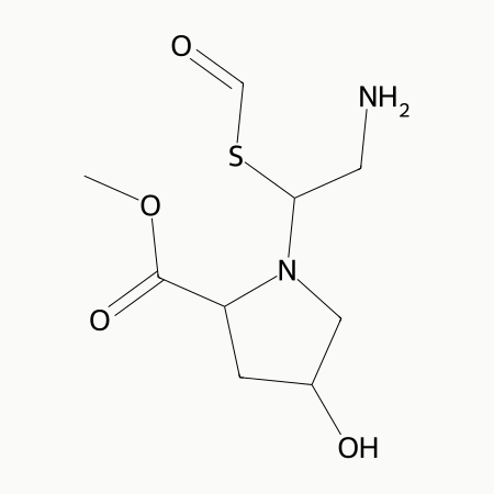 COC(=O)C1CC(O)CN1C(CN)SC=O